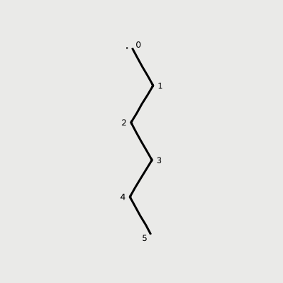 [CH2]CCCCC